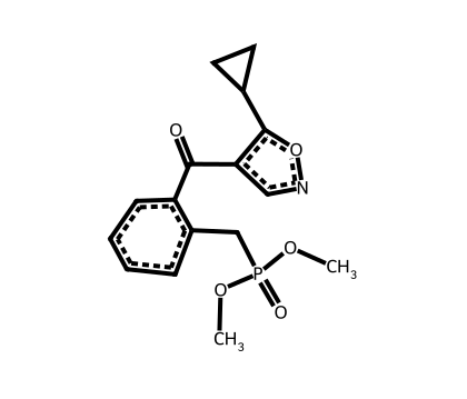 COP(=O)(Cc1ccccc1C(=O)c1cnoc1C1CC1)OC